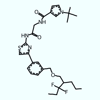 CCCC(COCc1cccc(-c2csc(NC(=O)CNC(=O)c3ccn(C(C)(C)C)c3)n2)c1)C(F)(F)CC